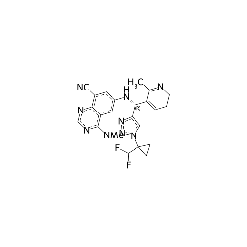 CNc1ncnc2c(C#N)cc(N[C@H](C3=CCCN=C3C)c3cn(C4(C(F)F)CC4)nn3)cc12